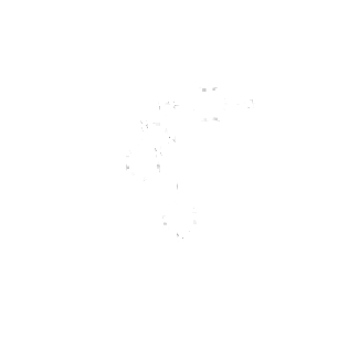 FC(F)(F)c1ccc(Nc2nc3cccc(Cc4ccncc4)n3n2)cc1